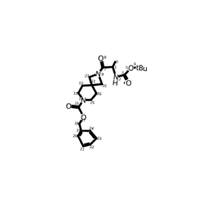 CC(NC(=O)OC(C)(C)C)C(=O)N1CC2(CCN(C(=O)OCc3ccccc3)CC2)C1